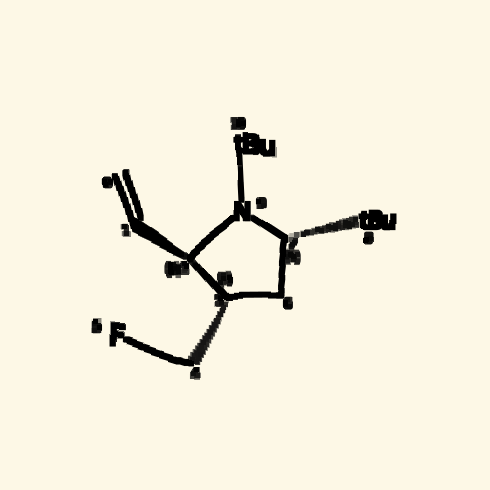 C=C[C@@H]1[C@@H](CF)C[C@@H](C(C)(C)C)N1C(C)(C)C